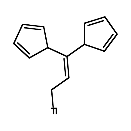 [Ti][CH2]C=C(C1C=CC=C1)C1C=CC=C1